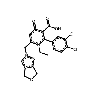 CCn1c(Cn2cc3c(n2)COC3)cc(=O)c(C(=O)O)c1-c1ccc(Cl)c(Cl)c1